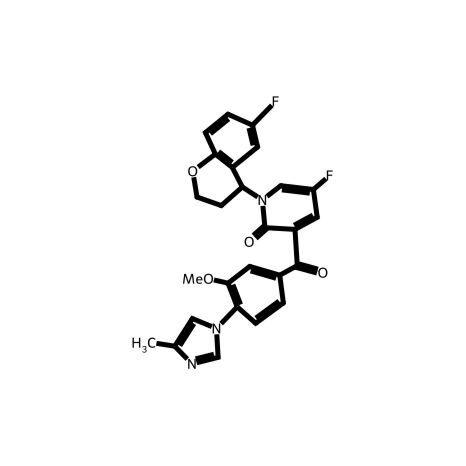 COc1cc(C(=O)c2cc(F)cn(C3CCOc4ccc(F)cc43)c2=O)ccc1-n1cnc(C)c1